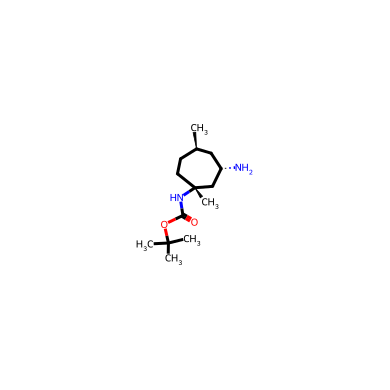 C[C@@H]1CC[C@@](C)(NC(=O)OC(C)(C)C)C[C@@H](N)C1